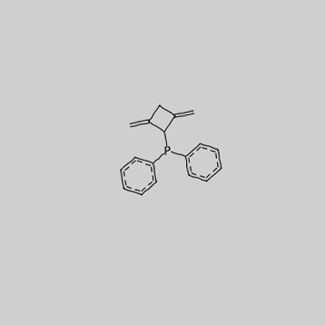 C=C1CC(=C)C1P(c1ccccc1)c1ccccc1